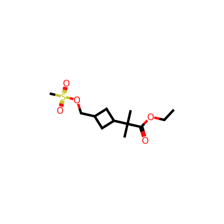 CCOC(=O)C(C)(C)C1CC(COS(C)(=O)=O)C1